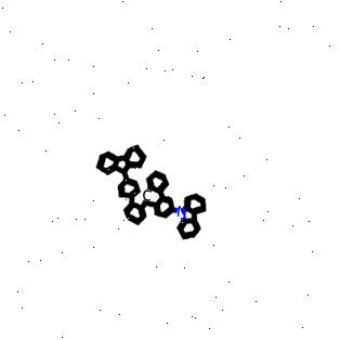 c1ccc2c(c1)CC(c1ccccc1-c1ccc(C3c4ccccc4-c4ccccc43)cc1)c1ccc(-n3c4ccccc4c4ccccc43)cc1-2